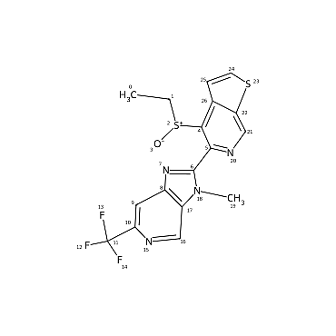 CC[S+]([O-])c1c(-c2nc3cc(C(F)(F)F)ncc3n2C)ncc2sccc12